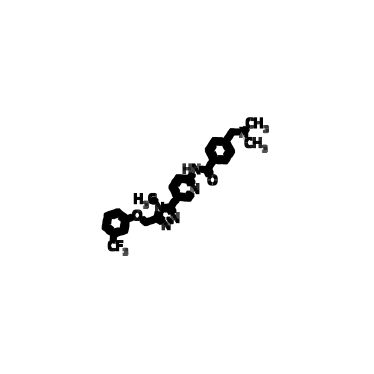 CN(C)Cc1ccc(C(=O)Nc2ccc(-c3nnc(COc4cccc(C(F)(F)F)c4)n3C)cn2)cc1